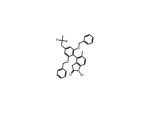 CCN1C(=O)Cc2c1ccc(C)c2-c1c(OCc2ccccc2)cc(CC(C)(F)F)cc1OCc1ccccc1